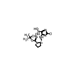 CC(C)(C)OC(=O)N1CCC[C@H]1CNc1nc(Cl)ncc1N(O)O